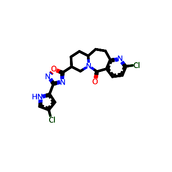 O=C1c2ccc(Cl)nc2CCC2CCC(c3nc(-c4cc(Cl)c[nH]4)no3)CN12